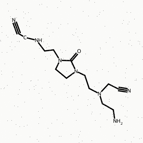 N#CCNCCN1CCN(CCN(CC#N)CCN)C1=O